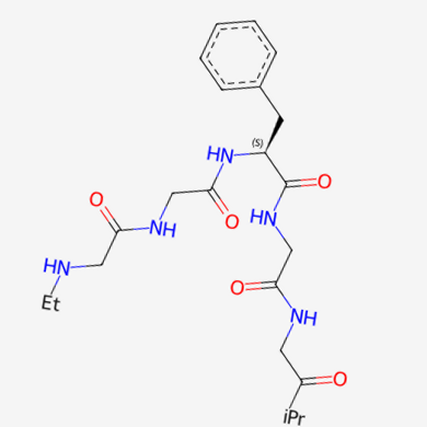 CCNCC(=O)NCC(=O)N[C@@H](Cc1ccccc1)C(=O)NCC(=O)NCC(=O)C(C)C